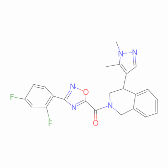 Cc1c(C2CN(C(=O)c3nc(-c4ccc(F)cc4F)no3)Cc3ccccc32)cnn1C